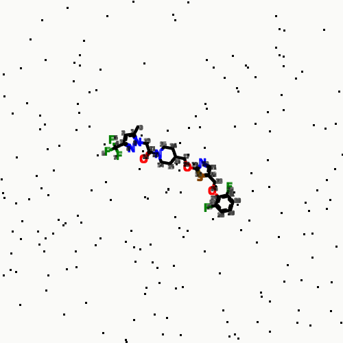 Cc1cc(C(F)(F)F)nn1CC(=O)N1CCC(COc2ncc(COc3c(F)cccc3F)s2)CC1